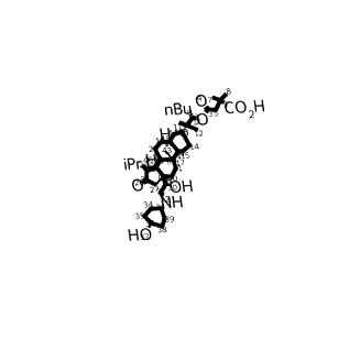 CCCC[C@H](OC(=O)CC(C)(C)C(=O)O)C(C)(C)[C@@H]1CC[C@]2(C)[C@H](CC[C@@H]3C4=C(C(C)C)C(=O)C[C@]4([C@H](O)CN[C@H]4CC[C@H](O)CC4)CC[C@]32C)C1